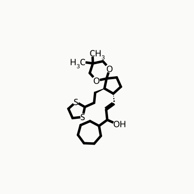 CC1(C)COC2(CC[C@H](C=CC(O)C3CCCCCC3)[C@H]2CCC2SCCS2)OC1